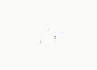 CCCCC(CC)CC(C)C(N)=O